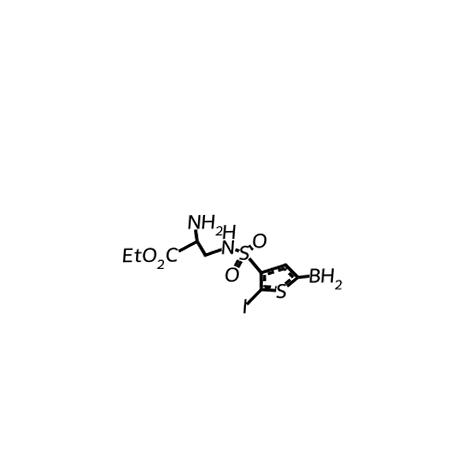 Bc1cc(S(=O)(=O)NCC(N)C(=O)OCC)c(I)s1